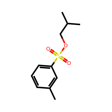 Cc1cccc(S(=O)(=O)OCC(C)C)c1